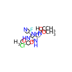 COc1c(Cl)cccc1Nc1c(-c2ccncc2F)[nH]c2c1C(=O)NCC21CCN(C(=O)OC(C)(C)C)CC1